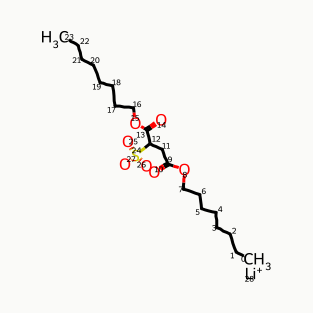 CCCCCCCCOC(=O)CC(C(=O)OCCCCCCCC)S(=O)(=O)[O-].[Li+]